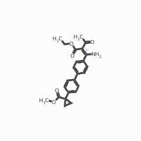 CCOC(=O)/C(C(C)=O)=C(/N)c1ccc(-c2ccc(C3(C(=O)OC)CC3)cc2)cc1